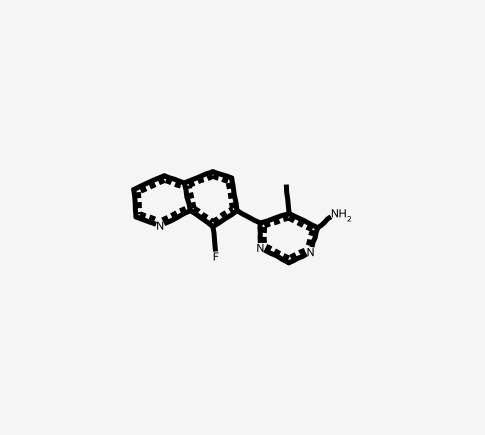 Cc1c(N)ncnc1-c1ccc2cccnc2c1F